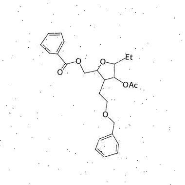 CCC1OC(COC(=O)c2ccccc2)C(CCOCc2ccccc2)C1OC(C)=O